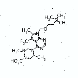 Cc1c(C(F)(F)F)c2c(N3C[C@H](C)N(C(=O)O)CC3C)ncnc2n1COCC[Si](C)(C)C